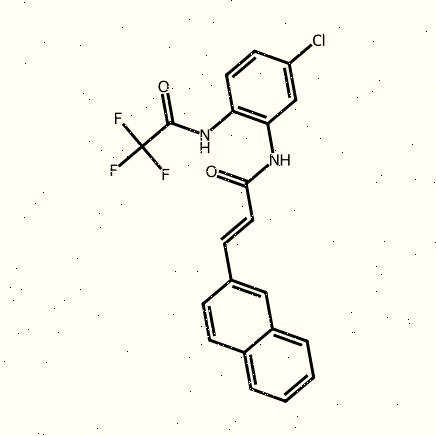 O=C(C=Cc1ccc2ccccc2c1)Nc1cc(Cl)ccc1NC(=O)C(F)(F)F